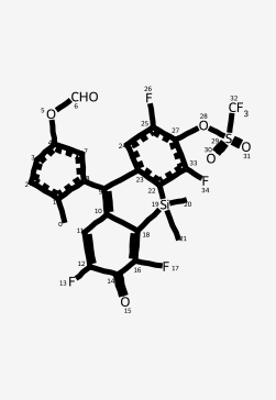 Cc1ccc(OC=O)cc1C1=C2C=C(F)C(=O)C(F)=C2[Si](C)(C)c2c1cc(F)c(OS(=O)(=O)C(F)(F)F)c2F